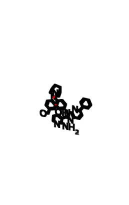 Nc1ncccc1-c1nc2ccc(-c3ccccc3)nc2n1-c1ccc(CN2C3CCC2CN(c2ccc(C=O)c(O)c2)C3)cc1